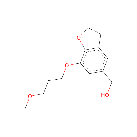 COCCCOc1cc(CO)cc2c1OCC2